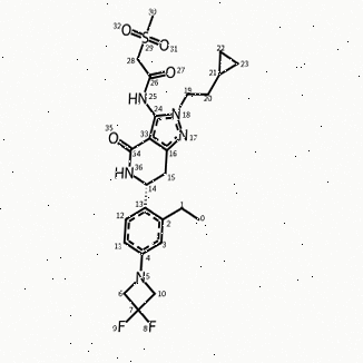 CCc1cc(N2CC(F)(F)C2)ccc1[C@H]1Cc2nn(CCC3CC3)c(NC(=O)CS(C)(=O)=O)c2C(=O)N1